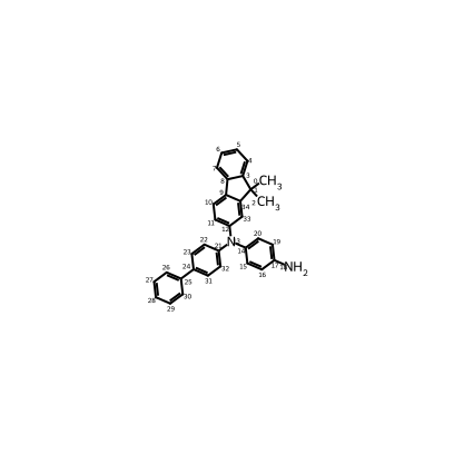 CC1(C)c2ccccc2-c2ccc(N(c3ccc(N)cc3)c3ccc(-c4ccccc4)cc3)cc21